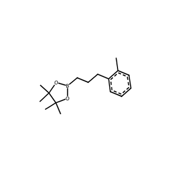 Cc1ccccc1CCCB1OC(C)(C)C(C)(C)O1